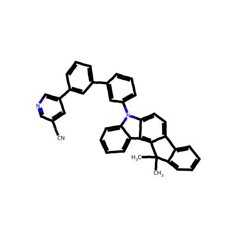 CC1(C)c2ccccc2-c2ccc3c(c21)c1ccccc1n3-c1cccc(-c2cccc(-c3cncc(C#N)c3)c2)c1